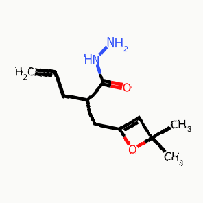 C=CCC(CC1=CC(C)(C)O1)C(=O)NN